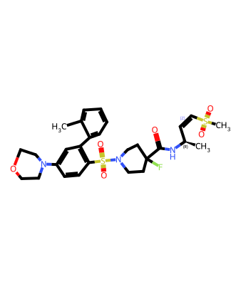 Cc1ccccc1-c1cc(N2CCOCC2)ccc1S(=O)(=O)N1CCC(F)(C(=O)N[C@H](C)/C=C\S(C)(=O)=O)CC1